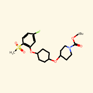 CC(C)(C)OC(=O)N1CCC(OC2CCC(Oc3cc(F)ccc3S(C)(=O)=O)CC2)CC1